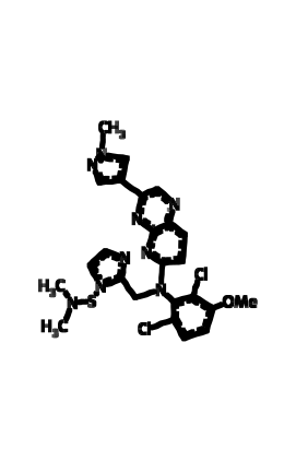 COc1ccc(Cl)c(N(Cc2nccn2SN(C)C)c2ccc3ncc(-c4cnn(C)c4)nc3n2)c1Cl